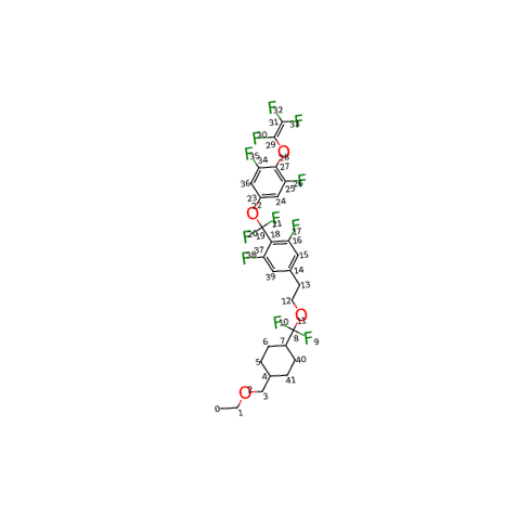 CCOCC1CCC(C(F)(F)OCCc2cc(F)c(C(F)(F)Oc3cc(F)c(OC(F)=C(F)F)c(F)c3)c(F)c2)CC1